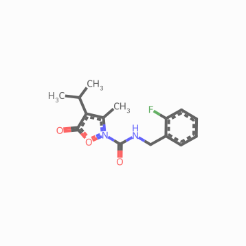 Cc1c(C(C)C)c(=O)on1C(=O)NCc1ccccc1F